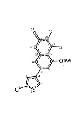 COc1cc(-c2csc(Cl)c2)cc2oc(=O)c(C)c(C)c12